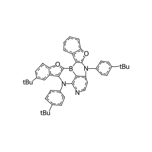 CC(C)(C)c1ccc(N2c3ccnc4c3B(c3oc5ccc(C(C)(C)C)cc5c3N4c3ccc(C(C)(C)C)cc3)c3c2oc2ccccc32)cc1